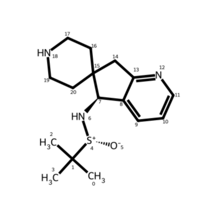 CC(C)(C)[S@@+]([O-])N[C@@H]1c2cccnc2CC12CCNCC2